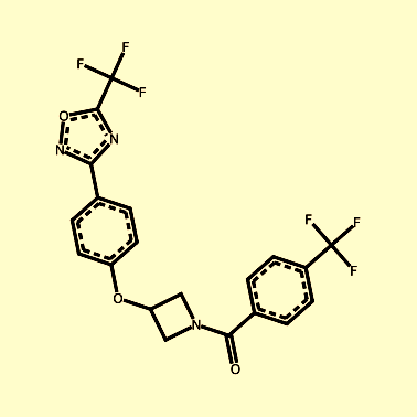 O=C(c1ccc(C(F)(F)F)cc1)N1CC(Oc2ccc(-c3noc(C(F)(F)F)n3)cc2)C1